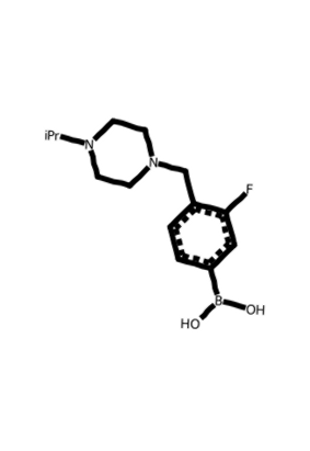 CC(C)N1CCN(Cc2ccc(B(O)O)cc2F)CC1